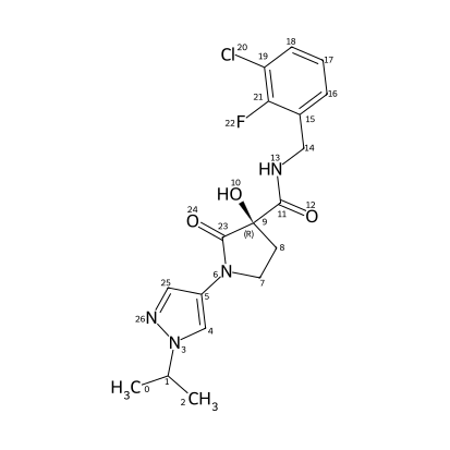 CC(C)n1cc(N2CC[C@@](O)(C(=O)NCc3cccc(Cl)c3F)C2=O)cn1